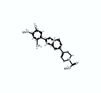 COC(=O)N1CC=C(c2ccn3cc(-c4cc(Cl)c(OC)cc4C)nc3c2)CC1